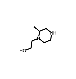 C[C@H]1CNCCN1CCO